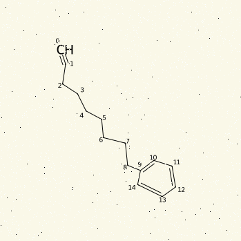 C#CCCCCCCCc1ccccc1